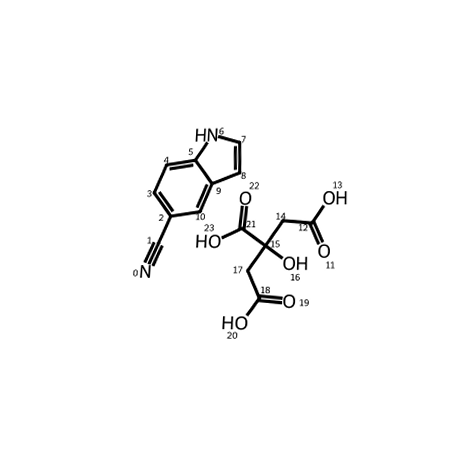 N#Cc1ccc2[nH]ccc2c1.O=C(O)CC(O)(CC(=O)O)C(=O)O